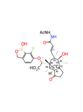 CC(=O)NNC(=O)/C=C/[C@]1(C)C[C@@H](C(Oc2ccc3c(c2F)B(O)OC3)C(=O)O)[C@@]2(C)[C@H](C)CC[C@]3(CCC(=O)[C@H]32)[C@@H](C)[C@@H]1O